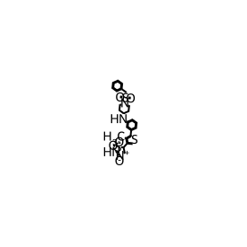 Cc1c(C2C[N+](=O)NS2(=O)=O)csc1-c1cccc(NC2CCN(S(=O)(=O)Cc3ccccc3)CC2)c1